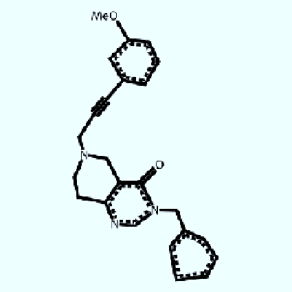 COc1cccc(C#CCN2CCc3ncn(Cc4ccccc4)c(=O)c3C2)c1